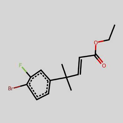 CCOC(=O)/C=C/C(C)(C)c1ccc(Br)c(F)c1